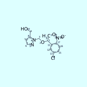 CC(OCn1nccc1CO)c1cc(Cl)ccc1[N+](=O)[O-]